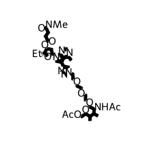 CC[C@H]1O[C@@H](n2cc(-c3cn(CCOCCOCCOC4OC(COC(C)=O)C(C)C(C)C4NC(C)=O)nn3)c3c(C)ncnc32)CC1OC(=O)CCC(=O)NC